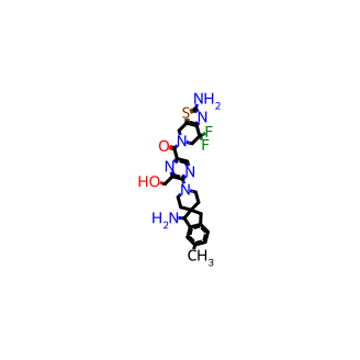 Cc1ccc2c(c1)C(N)C1(CCN(c3ncc(C(=O)N4Cc5sc(N)nc5C(F)(F)C4)nc3CO)CC1)C2